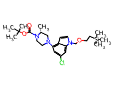 C[C@@H]1CN(c2cc(Cl)cc3c2ccn3COCC[Si](C)(C)C)CCN1C(=O)OC(C)(C)C